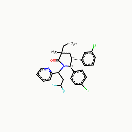 CC1(CC(=O)O)C[C@H](c2cccc(Cl)c2)[C@@H](c2ccc(Cl)cc2)N(C(CC(F)F)c2ccccn2)C1=O